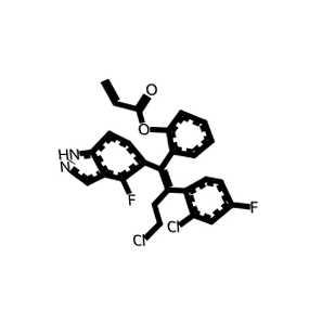 C=CC(=O)Oc1ccccc1/C(=C(/CCCl)c1ccc(F)cc1Cl)c1ccc2[nH]ncc2c1F